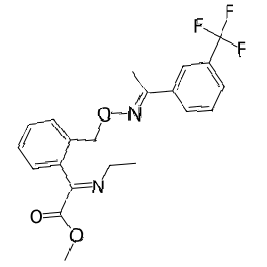 CC/N=C(/C(=O)OC)c1ccccc1CO/N=C(\C)c1cccc(C(F)(F)F)c1